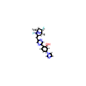 [2H][C@]12C/C(=C\c3cnc(-c4ccc(-n5ccnc5)cc4O)cn3)[C@H](F)[C@]([2H])(C[C@H]1F)N2